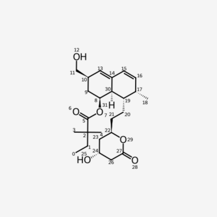 CCC(C)(C)C(=O)O[C@H]1C[C@@H](CO)C=C2C=C[C@H](C)[C@H](CC[C@@H]3C[C@@H](O)CC(=O)O3)[C@H]21